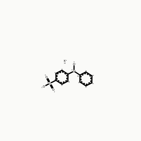 O=S(=O)([O-])c1ccc([S+]([O-])c2ccccc2)cc1.[K+]